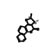 C[C@@H]1Oc2c(c(=O)oc3c2ccc2cnccc23)[C@H]1C